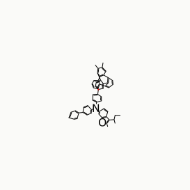 CCC(C)c1c(C)oc2cc(N(c3ccc(-c4ccccc4)cc3)c3ccc(-c4ccc5c(c4)-c4c6cccc4-c4cc(C)c(C)c-5c4-c4ccccc4-6)cc3)ccc12